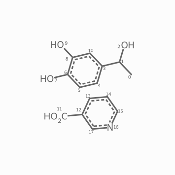 CC(O)c1ccc(O)c(O)c1.O=C(O)c1cccnc1